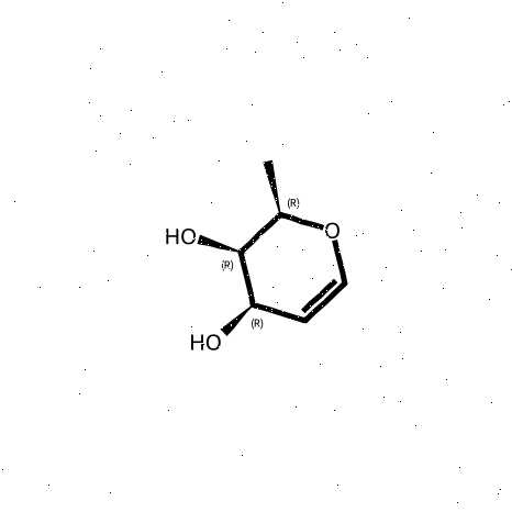 C[C@H]1OC=C[C@@H](O)[C@H]1O